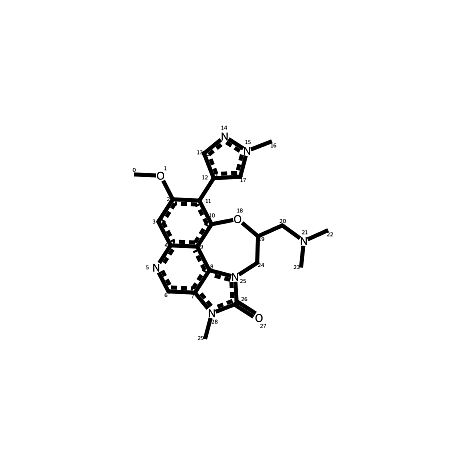 COc1cc2ncc3c4c2c(c1-c1cnn(C)c1)OC(CN(C)C)Cn4c(=O)n3C